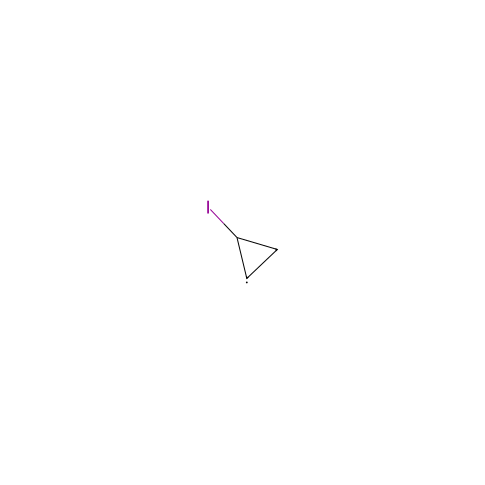 IC1[CH]C1